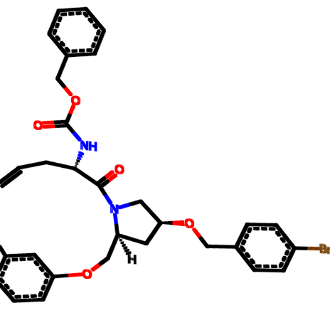 O=C(N[C@H]1CC=CCCc2cccc(c2)OC[C@@H]2C[C@H](OCc3ccc(Br)cc3)CN2C1=O)OCc1ccccc1